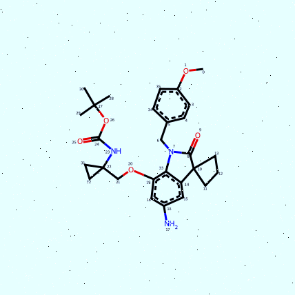 COc1ccc(CN2C(=O)C3(CCC3)c3cc(N)cc(OCC4(NC(=O)OC(C)(C)C)CC4)c32)cc1